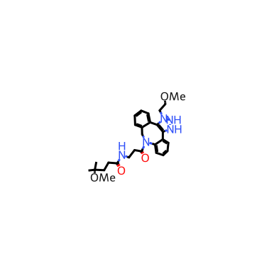 COCCN1NNC2=C1c1ccccc1CN(C(=O)CCNC(=O)CCC(C)(C)OC)c1ccccc12